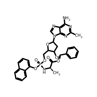 Cc1nc(N)c2ncn(C3CC(O)C(COP(=O)(N[C@H](C)C(=O)OCc4ccccc4)Oc4cccc5ccccc45)O3)c2n1